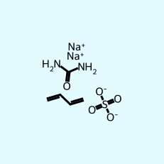 C=CC=C.NC(N)=O.O=S(=O)([O-])[O-].[Na+].[Na+]